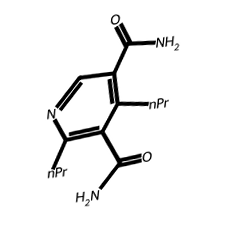 CCCc1ncc(C(N)=O)c(CCC)c1C(N)=O